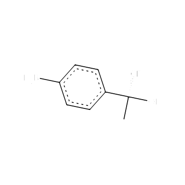 Bc1ccc([C@](C)(O)C(F)(F)F)cc1